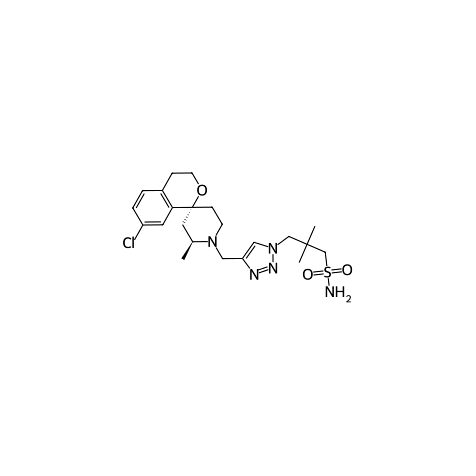 C[C@H]1C[C@@]2(CCN1Cc1cn(CC(C)(C)CS(N)(=O)=O)nn1)OCCc1ccc(Cl)cc12